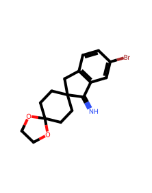 N=C1c2cc(Br)ccc2CC12CCC1(CC2)OCCO1